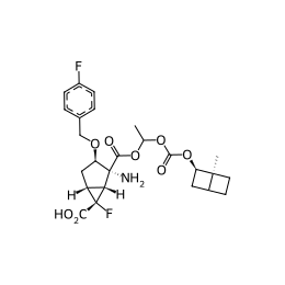 CC(OC(=O)O[C@@H]1CC2CC[C@@]21C)OC(=O)[C@@]1(N)[C@H]2[C@@H](C[C@H]1OCc1ccc(F)cc1)[C@]2(F)C(=O)O